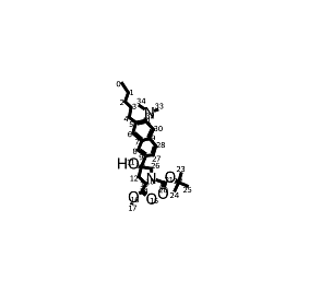 CCCCCc1cc2cc(C3(O)CC(C(=O)OC)N(C(=O)OC(C)(C)C)C3)ccc2cc1N(C)C